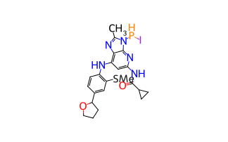 CSc1cc(C2CCCO2)ccc1Nc1cc(NC(=O)C2CC2)nc2c1nc(C)n2PI